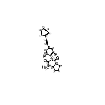 CN1C(=O)N(c2c(F)cc(C#Cc3ccccc3)cc2F)C(=O)C2CCCC21